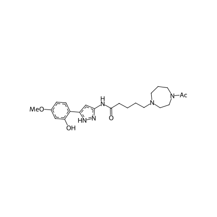 COc1ccc(-c2cc(NC(=O)CCCCN3CCCN(C(C)=O)CC3)n[nH]2)c(O)c1